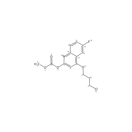 COC(=O)Oc1cc(OCCCCl)c2cc(F)ccc2n1